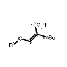 CCCCC(=COCC)C(=O)O